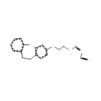 N=C/N=C\NCCNc1ccc2c(c1)Nc1ccccc1CC2